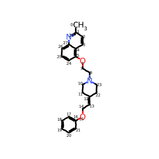 Cc1ccc2c(OCCN3CCC(=CCOc4ccccc4)CC3)cccc2n1